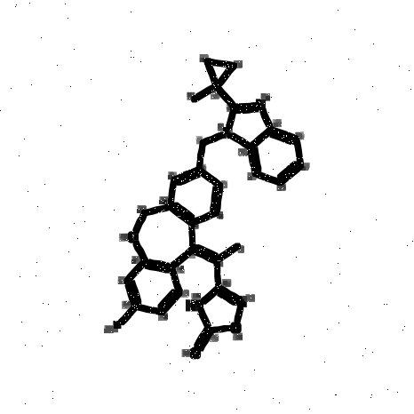 C/C(=C1\c2ccc(Cn3c(C4(C)CC4)nc4ccccc43)cc2COc2cc(F)ccc21)c1noc(=O)[nH]1